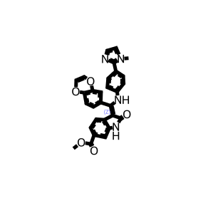 COC(=O)c1ccc2c(c1)NC(=O)/C2=C(\Nc1ccc(-c2nccn2C)cc1)c1ccc2c(c1)OC=CO2